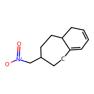 O=[N+]([O-])CC1CCC2=CC=CCC2CC1